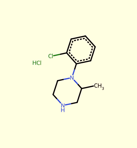 CC1CNCCN1c1ccccc1Cl.Cl